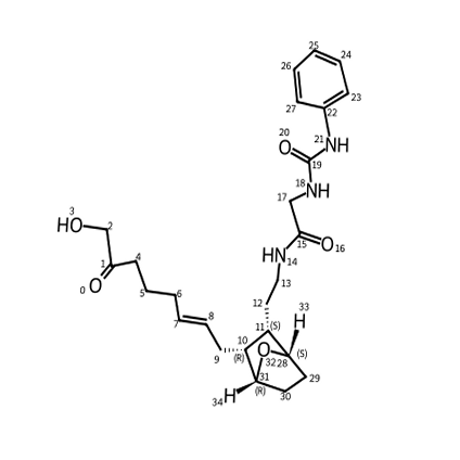 O=C(CO)CCCC=CC[C@@H]1[C@H](CCNC(=O)CNC(=O)Nc2ccccc2)[C@@H]2CC[C@H]1O2